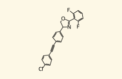 Fc1cccc(F)c1C1=NC(c2ccc(C#Cc3ccc(Cl)cc3)cc2)CO1